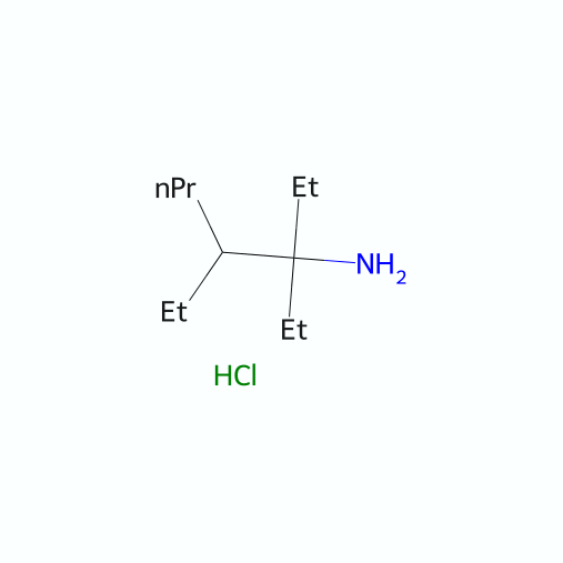 CCCC(CC)C(N)(CC)CC.Cl